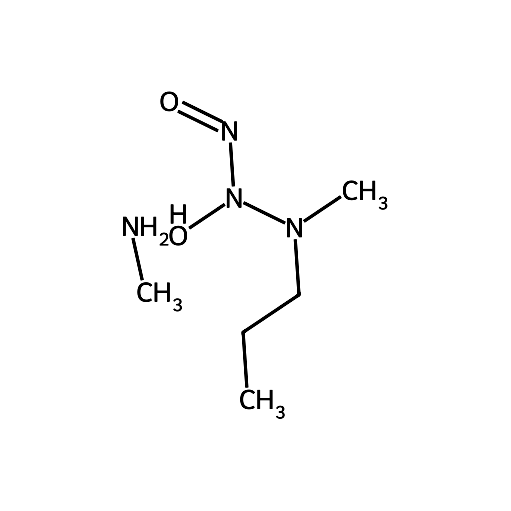 CCCN(C)N(O)N=O.CN